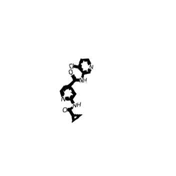 O=C(Nc1cnccc1Cl)c1ccnc(NC(=O)C2CC2)c1